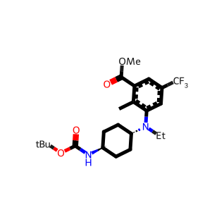 CCN(c1cc(C(F)(F)F)cc(C(=O)OC)c1C)[C@H]1CC[C@H](NC(=O)OC(C)(C)C)CC1